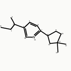 CCC(C)c1ccc(C2CCC(C)(C)C2)nc1